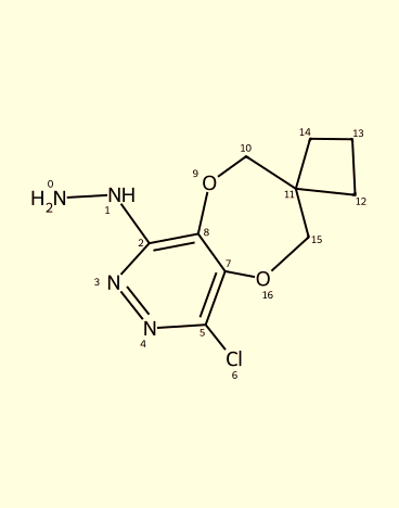 NNc1nnc(Cl)c2c1OCC1(CCC1)CO2